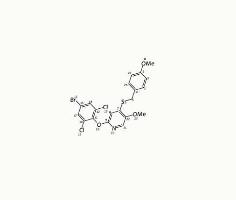 COc1ccc(CSc2cc(Oc3c(Cl)cc(Br)cc3Cl)ncc2OC)cc1